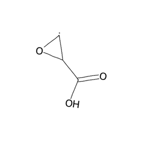 O=C(O)C1[CH]O1